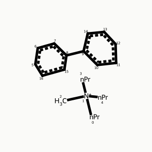 CCC[N+](C)(CCC)CCC.c1ccc(-c2ccccc2)cc1